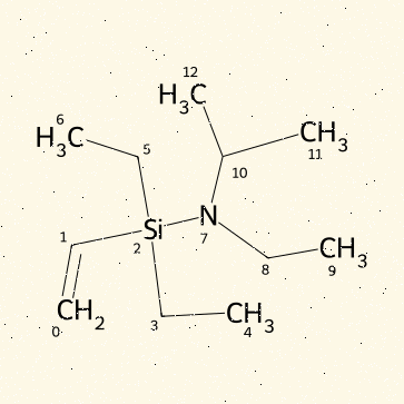 C=C[Si](CC)(CC)N(CC)C(C)C